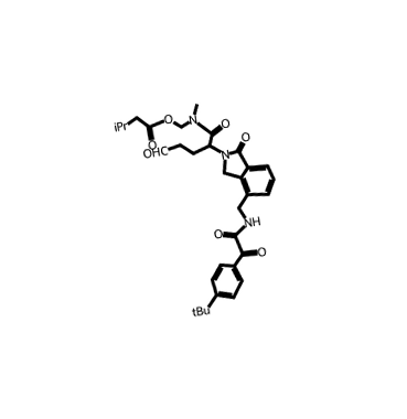 CC(C)CC(=O)OCN(C)C(=O)C(CCC=O)N1Cc2c(CNC(=O)C(=O)c3ccc(C(C)(C)C)cc3)cccc2C1=O